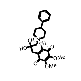 COC1=C(OC)C(=O)C(CC(C)(O)CN2CCC(c3ccccc3)CC2)=C(C)C1=O